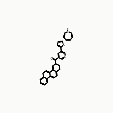 C1=CC=CNC=C1.O=C(c1cncc(-c2cccs2)c1)C1C=c2c(ccc3c2=CCc2ccccc2-3)CC1